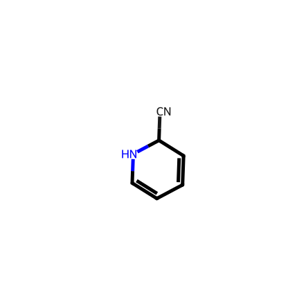 N#CC1C=CC=CN1